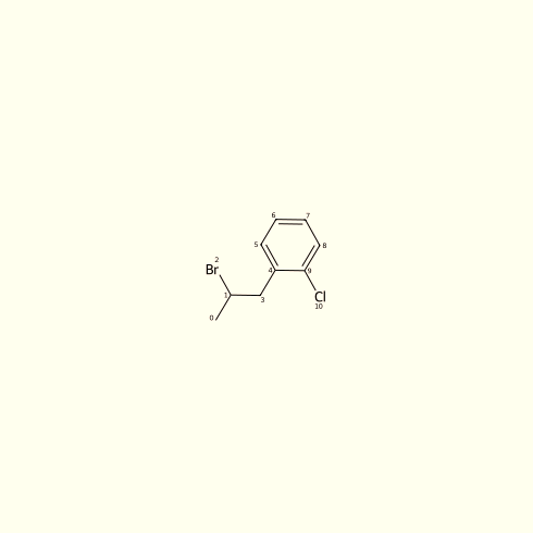 CC(Br)Cc1ccccc1Cl